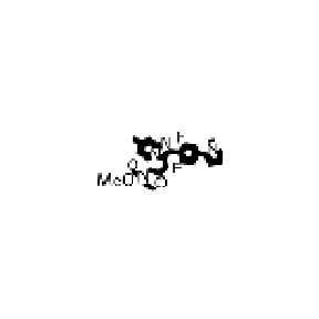 COC(=O)N1CCOC(Cc2c(-c3c(F)cc(-c4cccn4C)cc3F)nc3cc(C)ccn23)C1